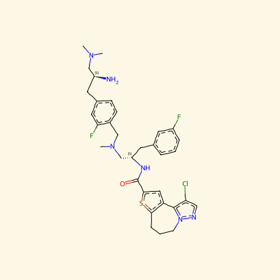 CN(C)C[C@@H](N)Cc1ccc(CN(C)C[C@H](Cc2cccc(F)c2)NC(=O)c2cc3c(s2)CCCn2ncc(Cl)c2-3)c(F)c1